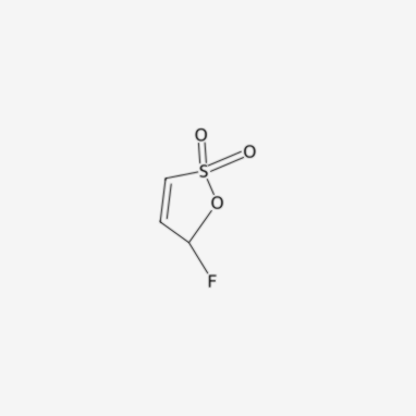 O=S1(=O)C=CC(F)O1